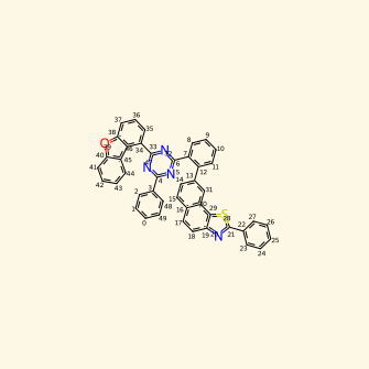 c1ccc(-c2nc(-c3ccccc3-c3ccc4ccc5nc(-c6ccccc6)sc5c4c3)nc(-c3cccc4oc5ccccc5c34)n2)cc1